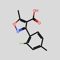 Cc1ccc(-c2noc(C)c2C(=O)O)c(F)c1